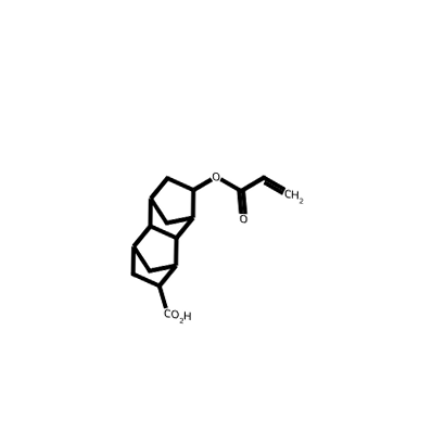 C=CC(=O)OC1CC2CC1C1C3CC(CC3C(=O)O)C21